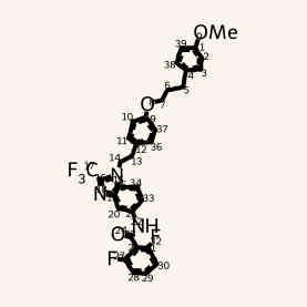 COc1ccc(CCCOc2ccc(CCn3c(C(F)(F)F)nc4cc(NC(=O)c5c(F)cccc5F)ccc43)cc2)cc1